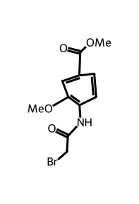 COC(=O)c1ccc(NC(=O)CBr)c(OC)c1